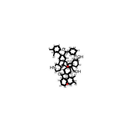 Cc1cccc(C2=CC(C3CCCNC3)C(CCCCO)(C(=O)C3(CCCCO)C=C(C(=O)c4ccccc4)C(c4cccc(C)c4C)=CC3C3CCCNC3)C=C2C(=O)c2ccccc2)c1C